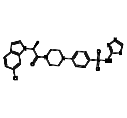 C[C@@H](C(=O)N1CCN(c2ccc(S(=O)(=O)Nc3nncs3)cc2)CC1)n1ccc2ccc(Cl)cc21